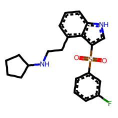 O=S(=O)(c1cccc(F)c1)c1c[nH]c2cccc(CCNC3CCCC3)c12